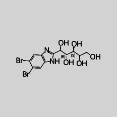 OCC(O)[C@H](O)[C@H](O)C(O)c1nc2cc(Br)c(Br)cc2[nH]1